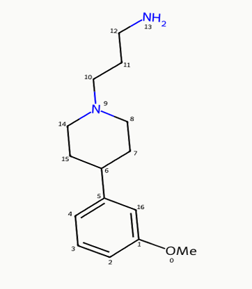 COc1cccc(C2CCN(CCCN)CC2)c1